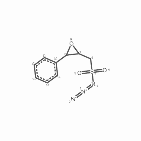 [N-]=[N+]=NS(=O)(=O)CC1OC1c1ccccc1